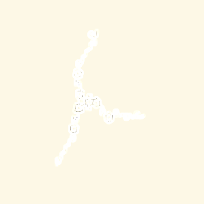 C=CC(=O)OCCCCCCOc1ccc(/N=C/c2ccc3c4ccc(/C=N/c5ccc(OCCCCCCOC)cc5)cc4c4nc5cc(COc6cccc(OCCOCCOCC)c6)ccc5nc4c3c2)cc1